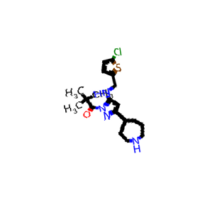 CC(C)(C)C(=O)n1nc(C2CCCNCC2)cc1NCc1ccc(Cl)s1